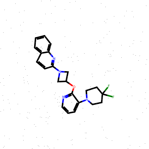 FC1(F)CCN(c2cccnc2OC2CN(c3ccc4ccccc4n3)C2)CC1